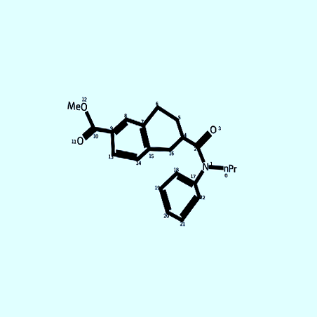 CCCN(C(=O)C1CCc2cc(C(=O)OC)ccc2C1)c1ccccc1